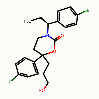 CC[C@@H](c1ccc(Br)cc1)N1CCC(CCCO)(c2ccc(F)cc2)OC1=O